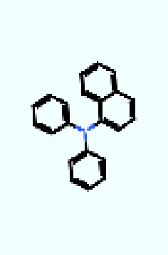 [c]1ccc(N(c2ccccc2)c2cccc3ccccc23)cc1